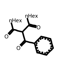 CCCCCCC(=O)C(C(=O)CCCCCC)C(=O)c1ccccc1